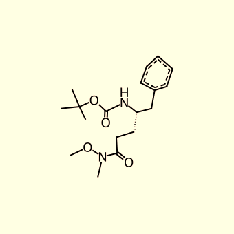 CON(C)C(=O)CC[C@@H](Cc1ccccc1)NC(=O)OC(C)(C)C